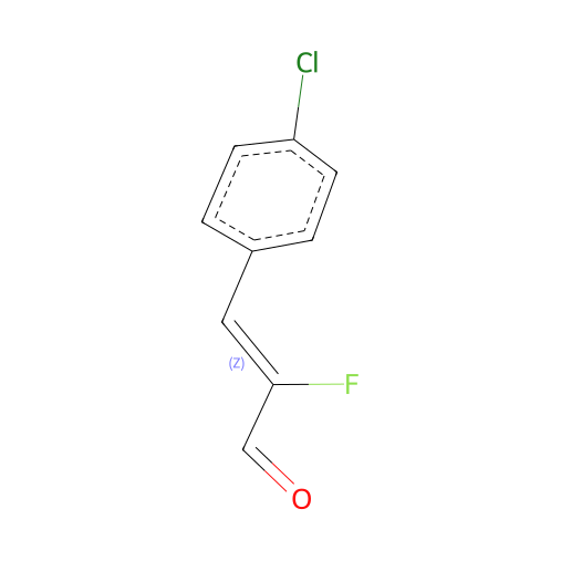 O=C/C(F)=C/c1ccc(Cl)cc1